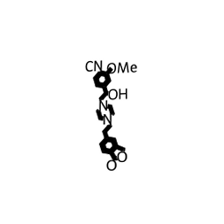 COc1cc(C(O)CN2CCN(CCc3ccc4c(c3)COC4=O)CC2)ccc1C#N